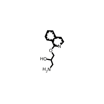 NCC(O)COc1nccc2ccccc12